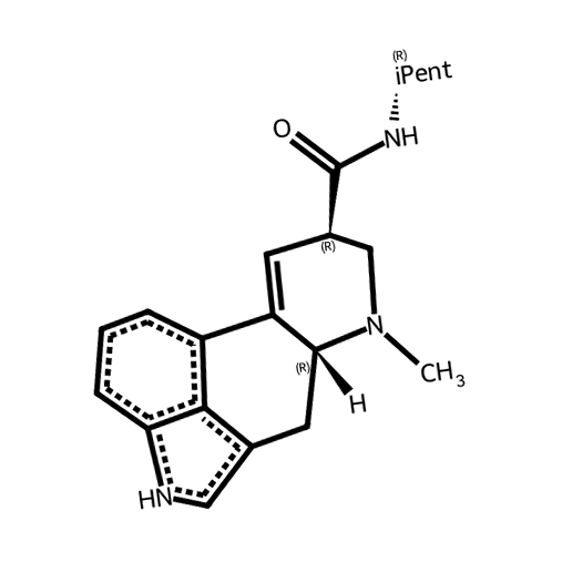 CCC[C@@H](C)NC(=O)[C@@H]1C=C2c3cccc4[nH]cc(c34)C[C@H]2N(C)C1